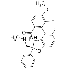 CNC[C@@]1(c2ccccc2)Cc2c(ccc(Cl)c2-c2c(C(N)=O)ccc(OC)c2F)O1